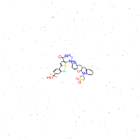 CC(C)(O)c1ccc(-c2cc(C(N)=O)c(Nc3cccc(C[C](Cc4ccccc4)C(=O)NC4CCS(=O)(=O)C4)n3)s2)c(F)c1